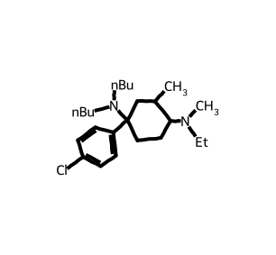 CCCCN(CCCC)C1(c2ccc(Cl)cc2)CCC(N(C)CC)C(C)C1